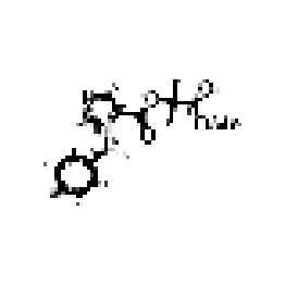 COC(=O)C(C)(C)OC(=O)c1cncn1[C@H](C)c1ccccc1